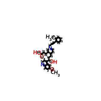 COc1ccc2nccc([C@@H](O)CCC3CCN(CC#Cc4ccccc4C)CC3CCC(=O)O)c2c1